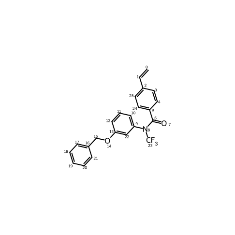 C=Cc1ccc(C(=O)N(c2cccc(OCc3ccccc3)c2)C(F)(F)F)cc1